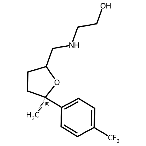 C[C@]1(c2ccc(C(F)(F)F)cc2)CCC(CNCCO)O1